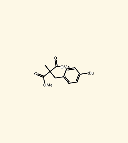 COC(=O)C(C)(Cc1ccc(C(C)(C)C)cc1)C(=O)OC